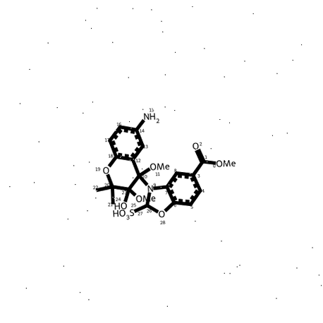 COC(=O)c1ccc2c(c1)N(C1(OC)c3cc(N)ccc3OC(C)(C)C1(O)OC)C(S(=O)(=O)O)O2